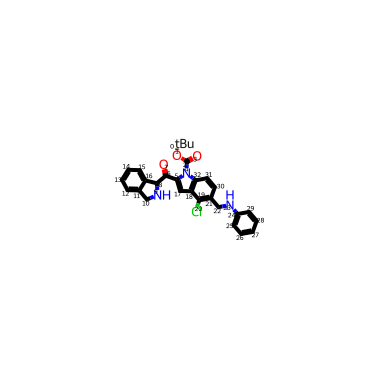 CC(C)(C)OC(=O)n1c(C(=O)C2NCc3ccccc32)cc2c(Cl)c(CNc3ccccc3)ccc21